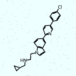 Clc1ccc(-c2ccc(-c3ccc4c(ccn4CCNCC4CC4)c3)nc2)cc1